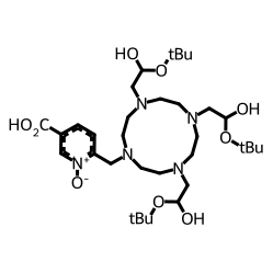 CC(C)(C)OC(O)CN1CCN(Cc2ccc(C(=O)O)c[n+]2[O-])CCN(CC(O)OC(C)(C)C)CCN(CC(O)OC(C)(C)C)CC1